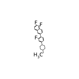 CCC1CCC(c2ccc(-c3ccc4c(F)c(F)ccc4c3)c(F)c2)CC1